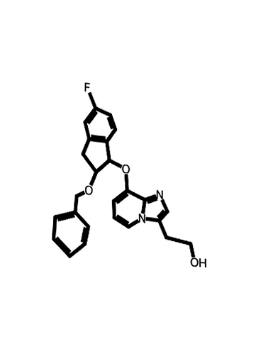 OCCc1cnc2c(OC3c4ccc(F)cc4CC3OCc3ccccc3)cccn12